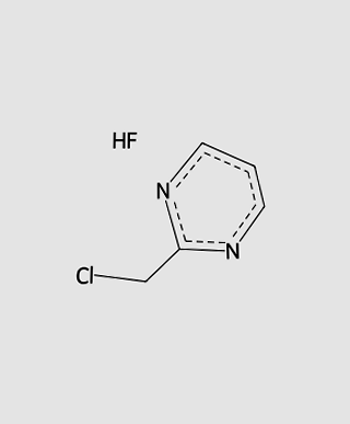 ClCc1ncccn1.F